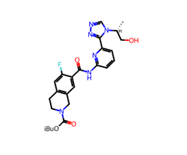 CC(C)COC(=O)N1CCc2cc(F)c(C(=O)Nc3cccc(-c4nncn4[C@H](C)CO)n3)cc2C1